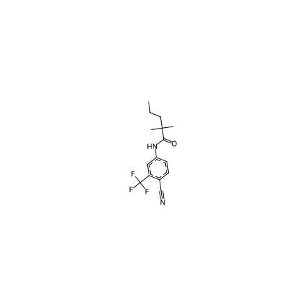 CCCC(C)(C)C(=O)Nc1ccc(C#N)c(C(F)(F)F)c1